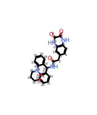 O=C(Cc1ccc2[nH]c(=O)c(=O)[nH]c2c1)NC(c1ccccc1)c1ccccc1N1CCCCC1